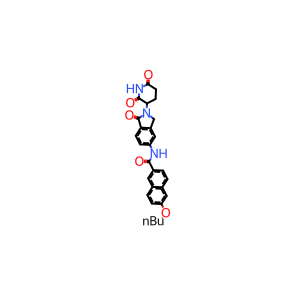 CCCCOc1ccc2cc(C(=O)Nc3ccc4c(c3)CN(C3CCC(=O)NC3=O)C4=O)ccc2c1